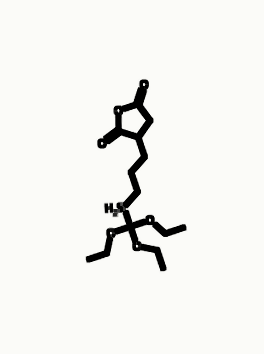 CCOC(OCC)(OCC)[SiH2]CCCC1CC(=O)OC1=O